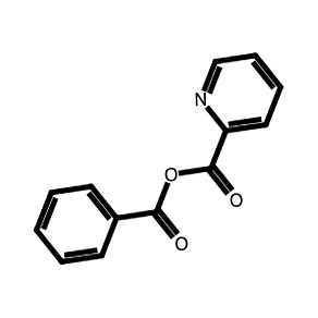 O=C(OC(=O)c1ccccn1)c1ccccc1